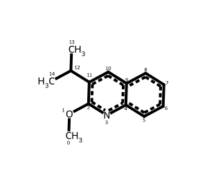 COc1nc2ccccc2cc1C(C)C